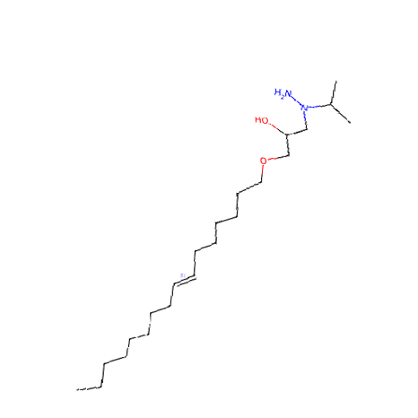 CCCCCCCC/C=C/CCCCCCOCC(O)CN(N)C(C)C